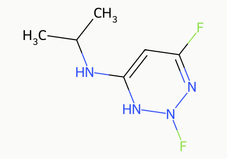 CC(C)NC1=CC(F)=NN(F)N1